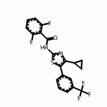 O=C(Nc1nc(C2CC2)c(-c2cccc(C(F)(F)F)c2)s1)c1c(F)cccc1F